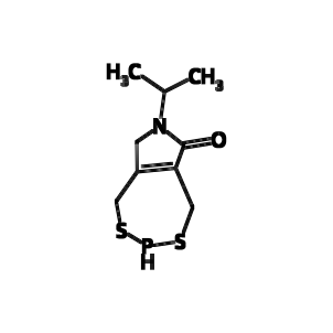 CC(C)N1CC2=C(CSPSC2)C1=O